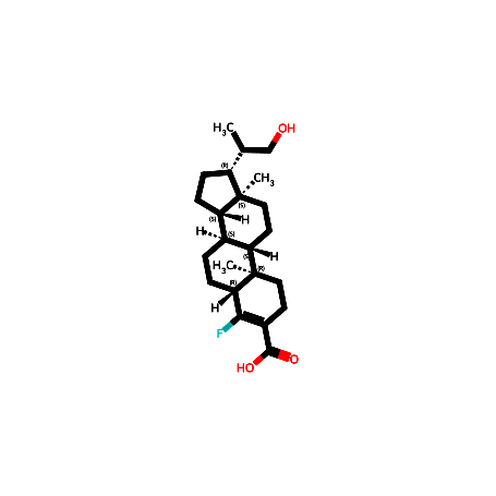 CC(CO)[C@H]1CC[C@H]2[C@@H]3CC[C@H]4C(F)=C(C(=O)O)CC[C@]4(C)[C@H]3CC[C@]12C